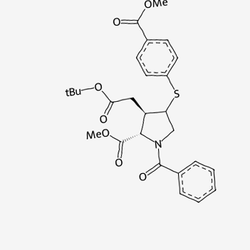 COC(=O)c1ccc(SC2CN(C(=O)c3ccccc3)[C@H](C(=O)OC)[C@H]2CC(=O)OC(C)(C)C)cc1